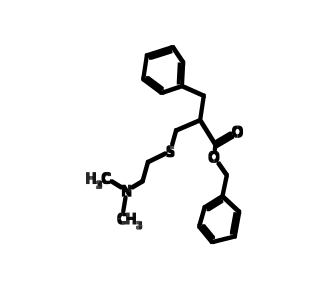 CN(C)CCSCC(Cc1ccccc1)C(=O)OCc1ccccc1